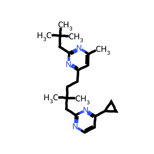 Cc1cc(CCC(C)(C)Cc2nccc(C3CC3)n2)nc(CC(C)(C)C)n1